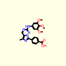 COc1cc(Nc2ncc3c(C)nc(-c4ccc(C(=O)O)cc4)n3n2)cc(OC)c1OC